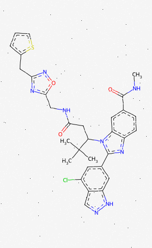 CNC(=O)c1ccc2nc(-c3cc(Cl)c4cn[nH]c4c3)n(C(CC(=O)NCc3nc(Cc4cccs4)no3)C(C)(C)C)c2c1